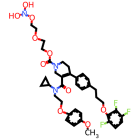 COc1ccc(OCCN(C(=O)C2=C(c3ccc(CCCOc4c(F)ccc(F)c4F)cc3)CCN(C(=O)OCCOCCON(O)O)C2)C2CC2)cc1